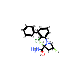 NC(=O)C1(F)CC(F)CN1c1cccc(-c2ccccc2)c1Cl